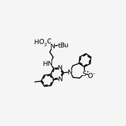 Cc1ccc2nc(N3CC[S+]([O-])c4ccccc4C3)nc(NCCN(C(=O)O)C(C)(C)C)c2c1